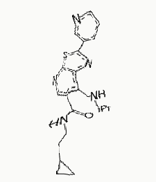 CC(C)Nc1c(C(=O)NCCC2CC2)cnc2sc(-c3cccnc3)nc12